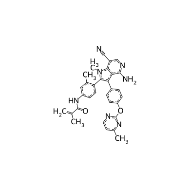 C=C(C)C(=O)Nc1ccc(-c2c(-c3ccc(Oc4nccc(C)n4)cc3)c3c(N)ncc(C#N)c3n2C)c(C)c1